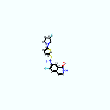 O=c1[nH]ccc2cc(F)c(NSc3ccc(N4CCC(F)C4)s3)cc12